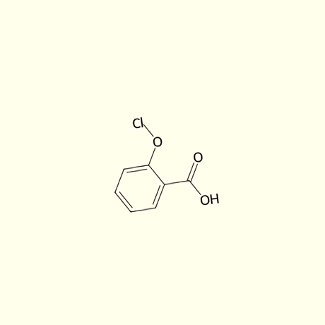 O=C(O)c1ccccc1OCl